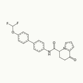 O=C1CCC(C(=O)Nc2ccc(-c3ccc(OC(F)F)cc3)cc2)n2cccc21